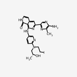 Cc1nc(-c2cc3cc[nH]c(=O)c3c(Nc3ccc(N(CCI)C[C@@H](C)O)nc3)n2)cnc1N